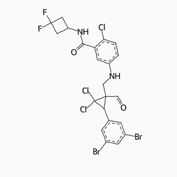 O=CC1(CNc2ccc(Cl)c(C(=O)NC3CC(F)(F)C3)c2)C(c2cc(Br)cc(Br)c2)C1(Cl)Cl